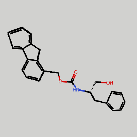 O=C(N[C@H](CO)Cc1ccccc1)OCc1cccc2c1Cc1ccccc1-2